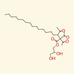 CCCCCCCCCCCCCCCC(C(C)=O)C(C(C)=O)(C(C)=O)C(=O)OCC(O)CO